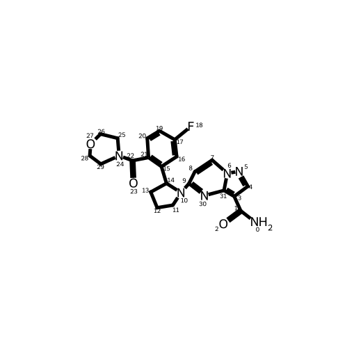 NC(=O)c1cnn2ccc(N3CCCC3c3cc(F)ccc3C(=O)N3CCOCC3)nc12